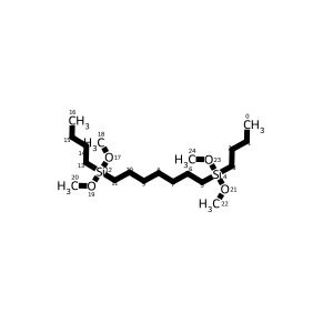 CCCC[Si](CCCCCCC[Si](CCCC)(OC)OC)(OC)OC